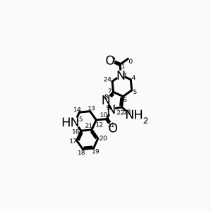 CC(=O)N1CCc2c(nn(C(=O)C3CCNc4ccccc43)c2N)C1